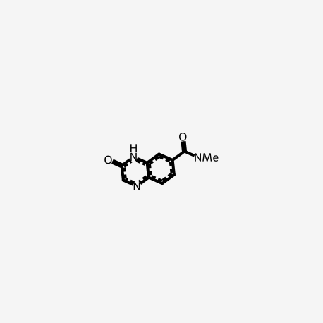 CNC(=O)c1ccc2ncc(=O)[nH]c2c1